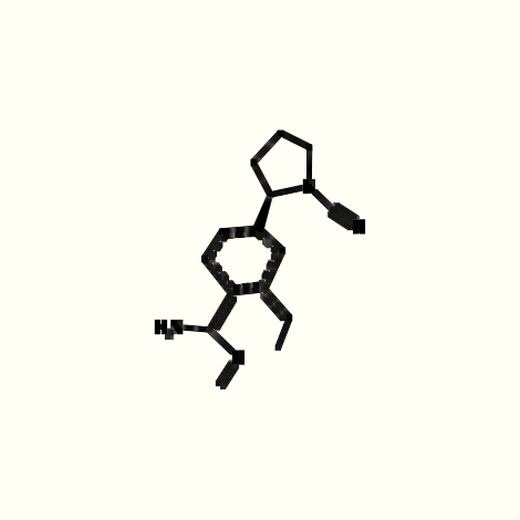 C=N/C(N)=c1/ccc([C@H]2CCCN2C#N)c/c1=C/C